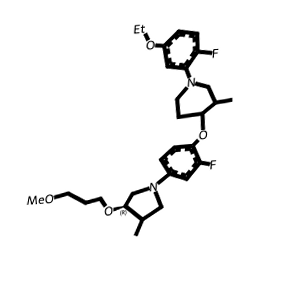 CCOc1ccc(F)c(N2CCC(Oc3ccc(N4CC(C)[C@@H](OCCCOC)C4)cc3F)C(C)C2)c1